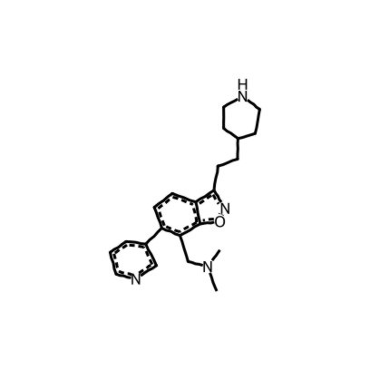 CN(C)Cc1c(-c2cccnc2)ccc2c(CCC3CCNCC3)noc12